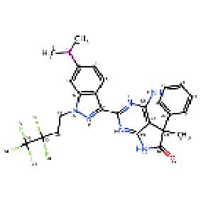 CI(C)c1ccc2c(-c3nc(N)c4c(n3)NC(=O)C4(C)c3ccccc3)nn(CCC(F)(F)C(F)(F)F)c2c1